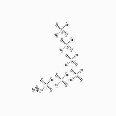 O=S(=O)(O)O.O=S(=O)(O)O.O=S(=O)(O)O.O=S(=O)(O)O.O=S(=O)(O)O.O=S(=O)(O)O.[Fe].[NaH]